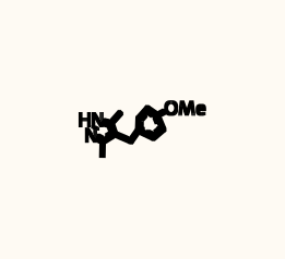 COc1ccc(Cc2c(C)n[nH]c2C)cc1